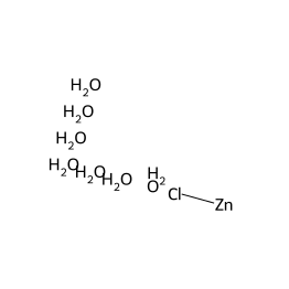 O.O.O.O.O.O.O.[Cl][Zn]